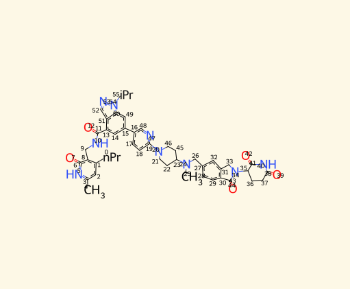 CCCc1cc(C)[nH]c(=O)c1CNC(=O)c1cc(-c2ccc(N3CCC(N(C)Cc4ccc5c(c4)CN(C4CCC(=O)NC4=O)C5=O)CC3)nc2)cc2c1cnn2C(C)C